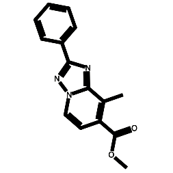 COC(=O)c1ccn2nc(-c3ccccc3)nc2c1C